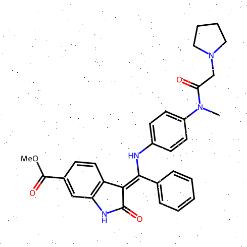 COC(=O)c1ccc2c(c1)NC(=O)C2=C(Nc1ccc(N(C)C(=O)CN2CCCC2)cc1)c1ccccc1